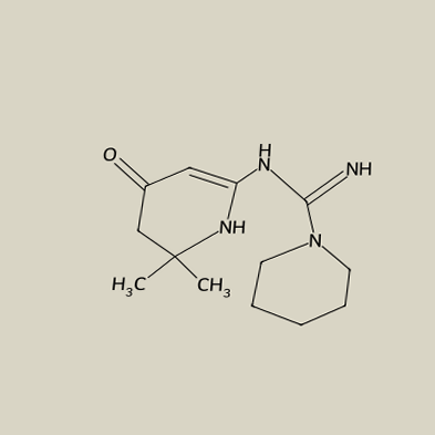 CC1(C)CC(=O)C=C(NC(=N)N2CCCCC2)N1